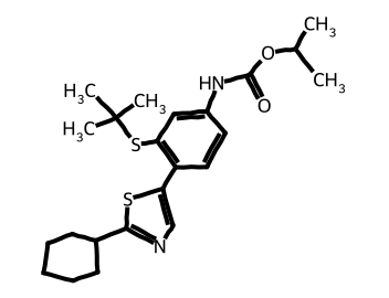 CC(C)OC(=O)Nc1ccc(-c2cnc(C3CCCCC3)s2)c(SC(C)(C)C)c1